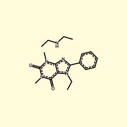 CCNCC.CCn1c(-c2ccccc2)nc2c1c(=O)n(C)c(=O)n2C